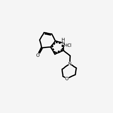 Cl.O=C1CC=Cc2[nH]c(CN3CCOCC3)cc21